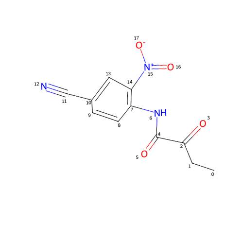 CCC(=O)C(=O)Nc1ccc(C#N)cc1[N+](=O)[O-]